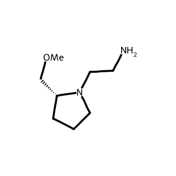 COC[C@H]1CCCN1CCN